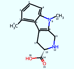 Cc1cccc2c1c1c(n2C)CN[C@H](C(=O)O)C1